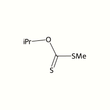 CSC(=S)OC(C)C